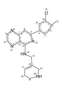 Cc1ccc(-c2cc3nccnc3c(NCC3=CCCNC3)n2)cc1Cl